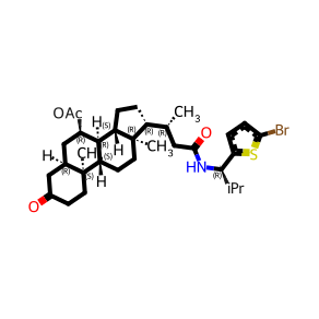 CC(=O)O[C@@H]1C[C@@H]2CC(=O)CC[C@]2(C)[C@H]2CC[C@]3(C)[C@@H]([C@H](C)CC(=O)N[C@@H](c4ccc(Br)s4)C(C)C)CC[C@H]3[C@H]12